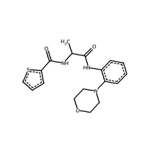 CC(NC(=O)c1cccs1)C(=O)Nc1ccccc1N1CCOCC1